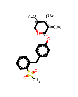 CC(=O)O[C@@H]1[C@@H](OC(C)=O)[C@H](Oc2ccc(Cc3ccccc3S(C)(=O)=O)cc2)OC[C@H]1OC(C)=O